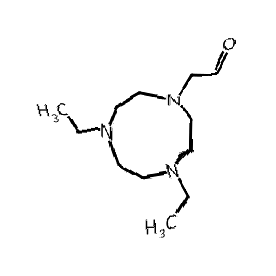 CCN1CCN(CC)CCN(CC=O)CC1